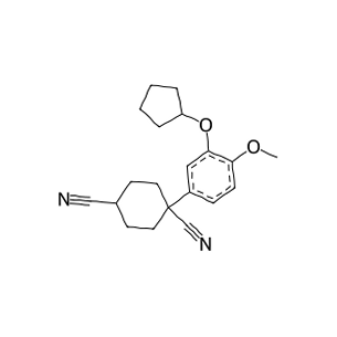 COc1ccc(C2(C#N)CCC(C#N)CC2)cc1OC1CCCC1